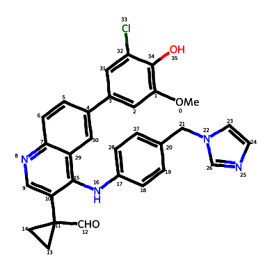 COc1cc(-c2ccc3ncc(C4(C=O)CC4)c(Nc4ccc(Cn5ccnc5)cc4)c3c2)cc(Cl)c1O